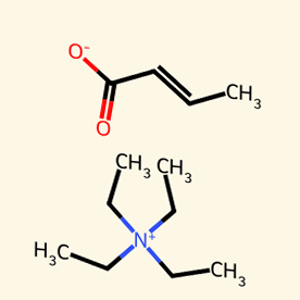 CC=CC(=O)[O-].CC[N+](CC)(CC)CC